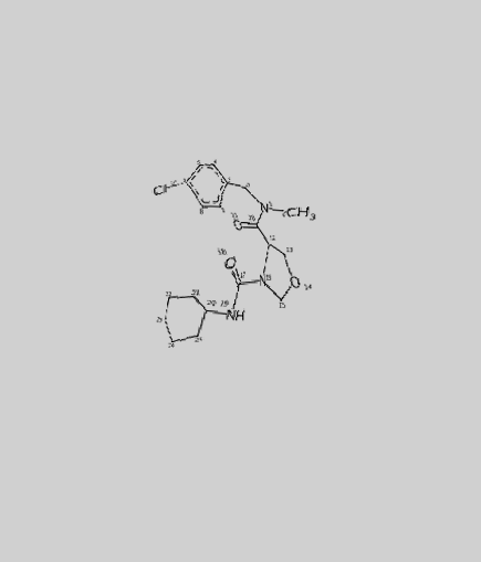 CN(Cc1ccc(Cl)cc1)C(=O)C1COCN1C(=O)NC1CCCCC1